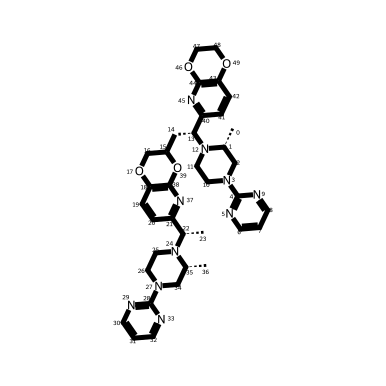 C[C@@H]1CN(c2ncccn2)CCN1[C@H](CC1COc2ccc([C@H](C)N3CCN(c4ncccn4)C[C@H]3C)nc2O1)c1ccc2c(n1)OCCO2